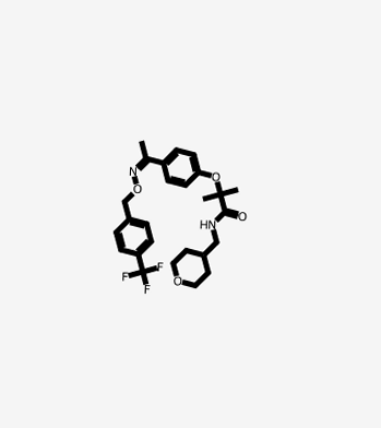 CC(=NOCc1ccc(C(F)(F)F)cc1)c1ccc(OC(C)(C)C(=O)NCC2CCOCC2)cc1